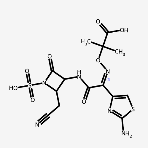 CC(C)(O/N=C(\C(=O)NC1C(=O)N(S(=O)(=O)O)C1CC#N)c1csc(N)n1)C(=O)O